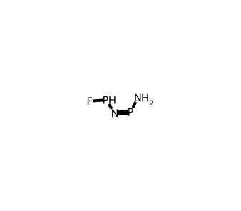 N/P=N\PF